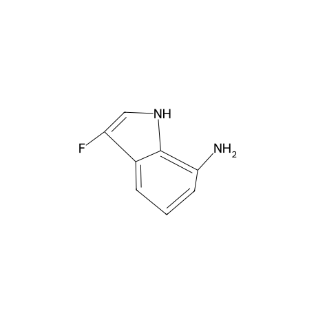 Nc1cccc2c(F)c[nH]c12